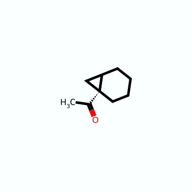 CC(=O)[C@@]12CCCCC1C2